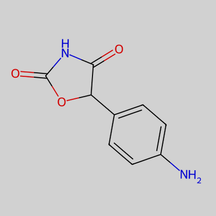 Nc1ccc(C2OC(=O)NC2=O)cc1